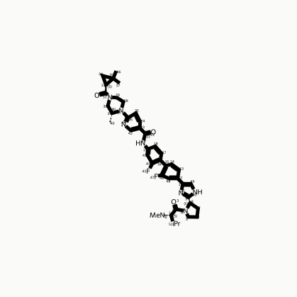 CN[C@H](C(=O)N1CCC[C@H]1c1nc(-c2ccc(-c3ccc(NC(=O)c4ccc(N5CCN(C(=O)[C@H]6CC6(C)C)C[C@H]5C)nc4)cc3F)c(F)c2)c[nH]1)C(C)C